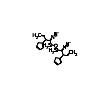 C=CC(C1=CC=CC1)C(=[N+]=[N-])[SiH2]O[SiH2]C(=[N+]=[N-])C(C=C)C1=CC=CC1